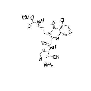 CC[C@H](Nc1ncnc(N)c1C#N)c1nc2cccc(Cl)c2c(=O)n1CCCNC(=O)OC(C)(C)C